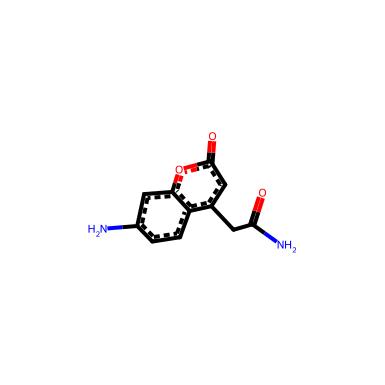 NC(=O)Cc1cc(=O)oc2cc(N)ccc12